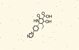 CCc1c(-c2ccc(-n3ccnc3)cc2)[nH]c(=O)c(C(=O)O)c1O